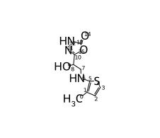 Cc1ccsc1NCC(O)c1n[nH]c(=O)o1